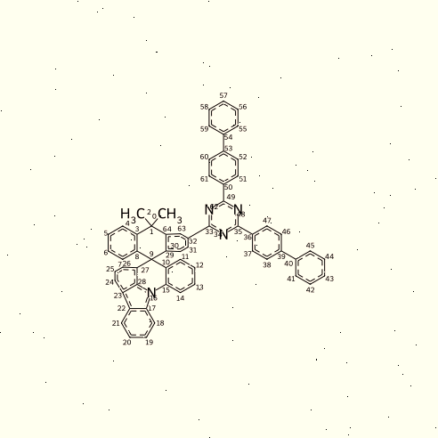 CC1(C)c2ccccc2C2(c3ccccc3-n3c4ccccc4c4cccc2c43)c2ccc(-c3nc(-c4ccc(-c5ccccc5)cc4)nc(-c4ccc(-c5ccccc5)cc4)n3)cc21